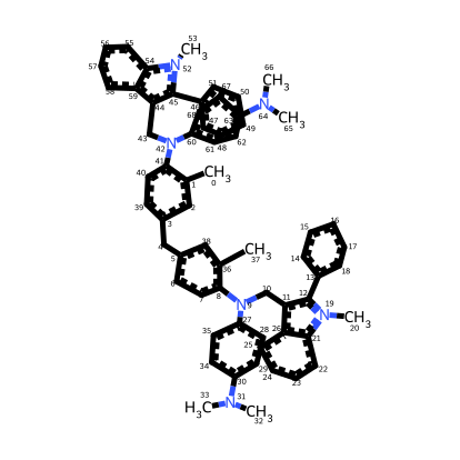 Cc1cc(Cc2ccc(N(Cc3c(-c4ccccc4)n(C)c4ccccc34)c3ccc(N(C)C)cc3)c(C)c2)ccc1N(Cc1c(-c2ccccc2)n(C)c2ccccc12)c1ccc(N(C)C)cc1